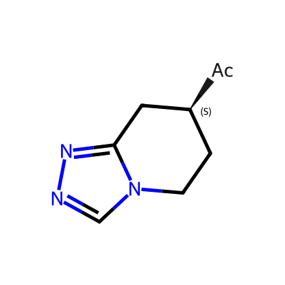 CC(=O)[C@H]1CCn2cnnc2C1